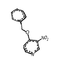 O=[N+]([O-])c1cnccc1OCc1ccccc1